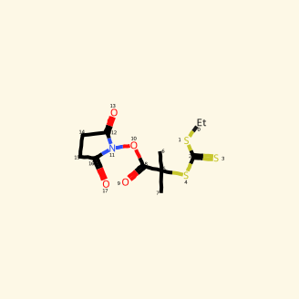 CCSC(=S)SC(C)(C)C(=O)ON1C(=O)CCC1=O